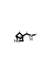 CNCC12CNC(C1)C2